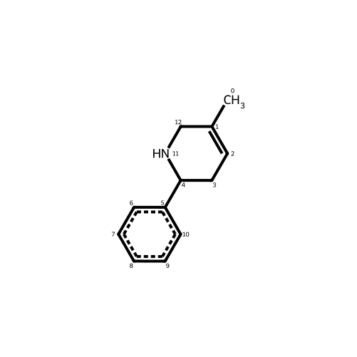 CC1=CCC(c2ccccc2)NC1